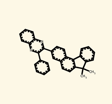 CC1(C)c2ccccc2-c2c1ccc1cc(-c3nc4ccccc4nc3-c3ccccc3)ccc21